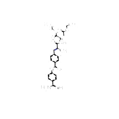 CCOC(=O)C[C@H](NC(=O)/C(C)=C/c1ccc(C(=O)Oc2ccc(C(=N)N)cc2)cc1)C(=O)OCC